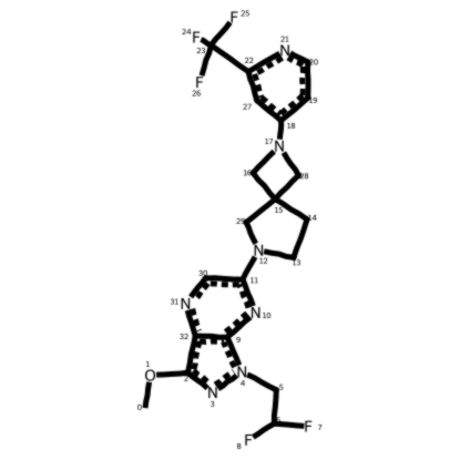 COc1nn(CC(F)F)c2nc(N3CCC4(CN(c5ccnc(C(F)(F)F)c5)C4)C3)cnc12